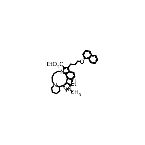 CCOC(=O)c1c(CCCOc2cccc3ccccc23)c2ccc(Cl)c3c2n1CCCCN1CCCCC1c1nn(C)c(CC)c1-3